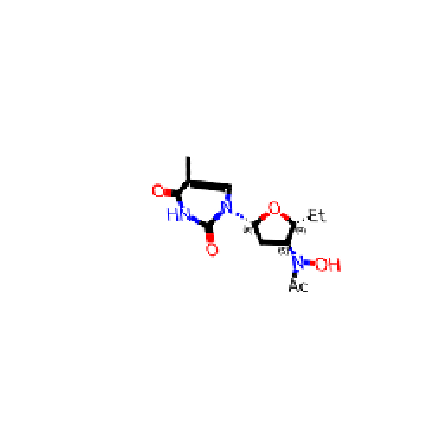 CC[C@H]1O[C@@H](n2cc(C)c(=O)[nH]c2=O)C[C@@H]1N(O)C(C)=O